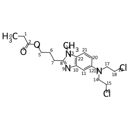 CCC(=O)OCCCc1nc2cc(N(CCCl)CCCl)ccc2n1C